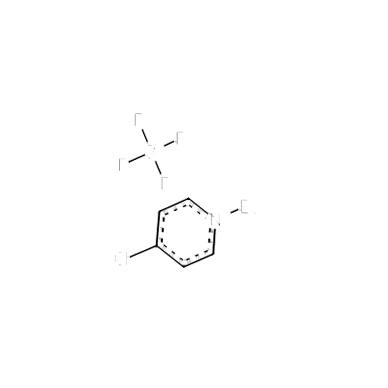 CC[n+]1ccc(Cl)cc1.F[B-](F)(F)F